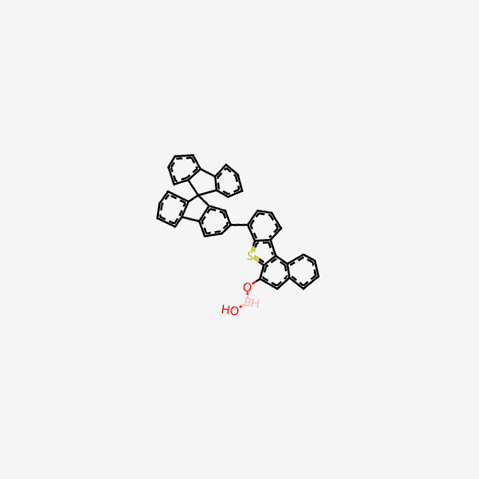 OBOc1cc2ccccc2c2c1sc1c(-c3ccc4c(c3)C3(c5ccccc5-c5ccccc53)c3ccccc3-4)cccc12